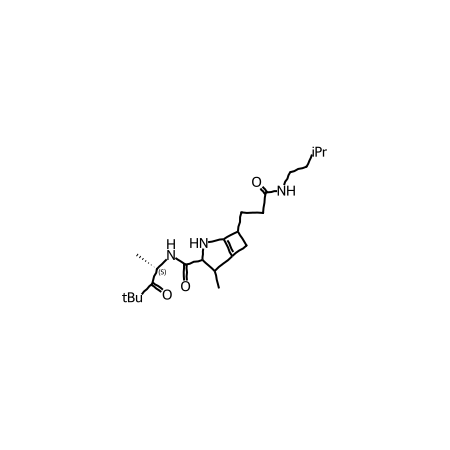 CC(C)CCNC(=O)CCC1CC2=C1NC(C(=O)N[C@@H](C)C(=O)C(C)(C)C)C2C